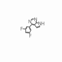 Fc1cc(F)cc(-c2ncnc3[nH]ccc23)c1